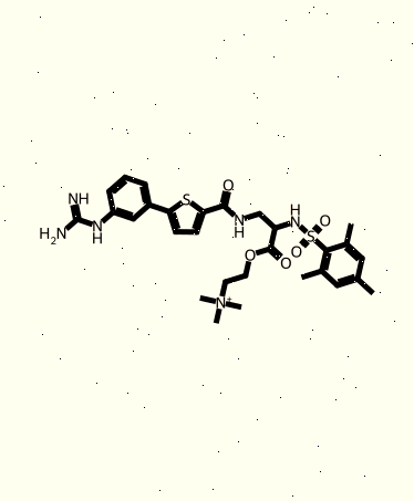 Cc1cc(C)c(S(=O)(=O)NC(CNC(=O)c2ccc(-c3cccc(NC(=N)N)c3)s2)C(=O)OCC[N+](C)(C)C)c(C)c1